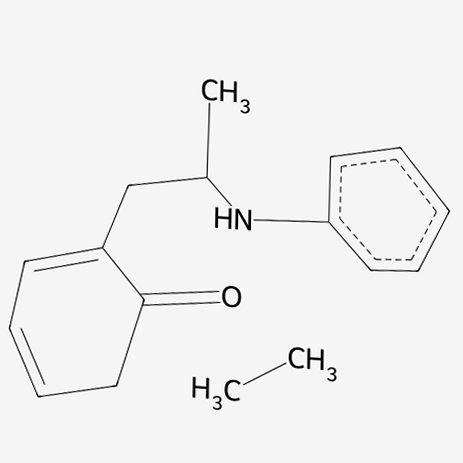 CC.CC(CC1=CC=CCC1=O)Nc1ccccc1